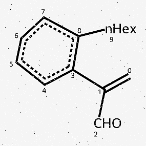 C=C(C=O)c1ccccc1CCCCCC